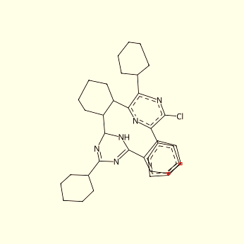 Clc1nc(C2CCCCC2)c(C2CCCCC2C2N=C(C3CCCCC3)N=C(C3=CC=CCC3)N2)nc1-c1ccccc1